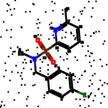 CCN(Cc1ccc(F)cc1)S(=O)(=O)c1cccc(C)n1